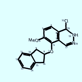 COc1ccc2c(c1OC1Cc3ccccc3C1)C=NNC2Cl